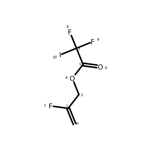 C=C(F)COC(=O)C(F)(F)I